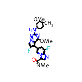 CNC(=O)c1cnc2c(F)cc(-c3c(F)cn4nc(N[C@H]5CC[C@@](C)(OC)CC5)nc(OC)c34)cn12